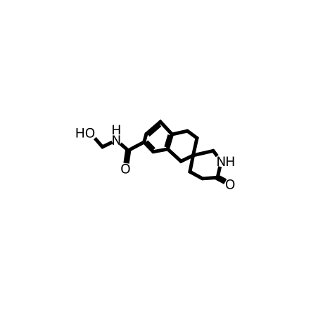 O=C1CCC2(CCc3ccc(C(=O)NCO)cc3C2)CN1